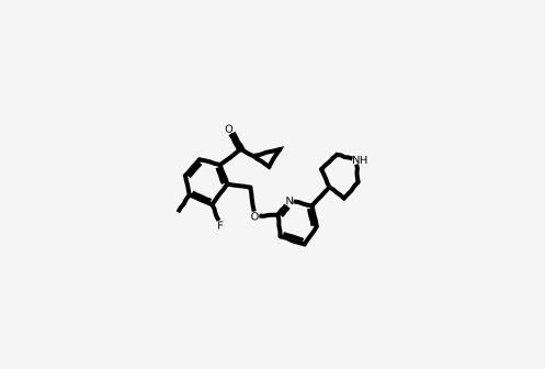 Cc1ccc(C(=O)C2CC2)c(COc2cccc(C3CCNCC3)n2)c1F